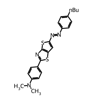 CCCCc1ccc(N=Nc2cc3sc(-c4ccc(N(C)C)cc4)nc3s2)cc1